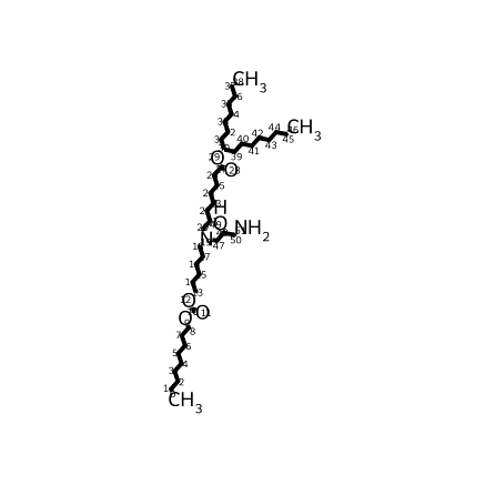 CCCCCCCCCOC(=O)OCCCCCCN(CCCCCCCC(=O)OC(CCCCCCCC)CCCCCCCC)CC(O)CN